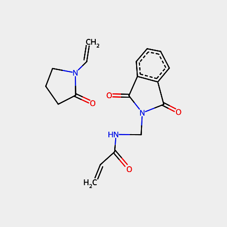 C=CC(=O)NCN1C(=O)c2ccccc2C1=O.C=CN1CCCC1=O